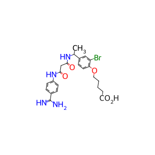 CC(NC(=O)CC(=O)Nc1ccc(C(=N)N)cc1)c1ccc(OCCCCC(=O)O)c(Br)c1